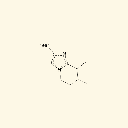 CC1CCn2cc(C=O)nc2C1C